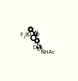 CC(=O)NC[C@H]1CN(c2ccc3c(c2)CCCc2c(-c4ccccc4OC(F)(F)F)noc2-3)C(=O)O1